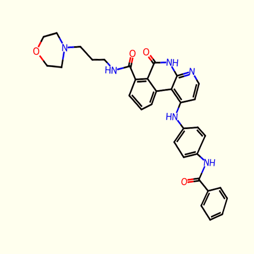 O=C(Nc1ccc(Nc2ccnc3[nH]c(=O)c4c(C(=O)NCCCN5CCOCC5)cccc4c23)cc1)c1ccccc1